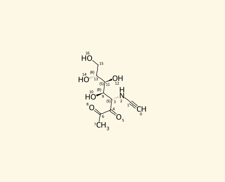 C#CN[C@H](C(=O)C(C)=O)[C@@H](O)[C@H](O)[C@H](O)CO